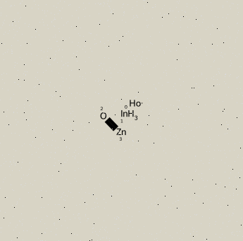 [Ho].[InH3].[O]=[Zn]